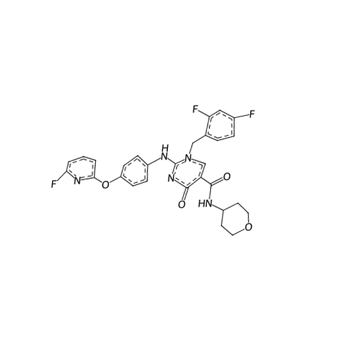 O=C(NC1CCOCC1)c1cn(Cc2ccc(F)cc2F)c(Nc2ccc(Oc3cccc(F)n3)cc2)nc1=O